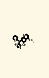 Cc1cc2c(C)ccnc2cc1C(c1ccccn1)c1cnc[nH]1